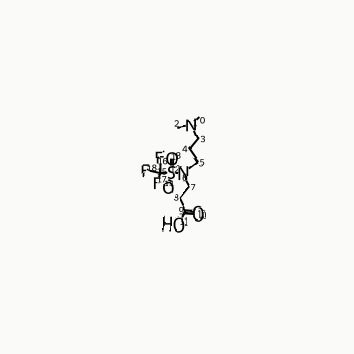 CN(C)CCCN(CCC(=O)O)S(=O)(=O)C(F)(F)F